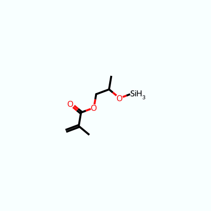 C=C(C)C(=O)OCC(C)O[SiH3]